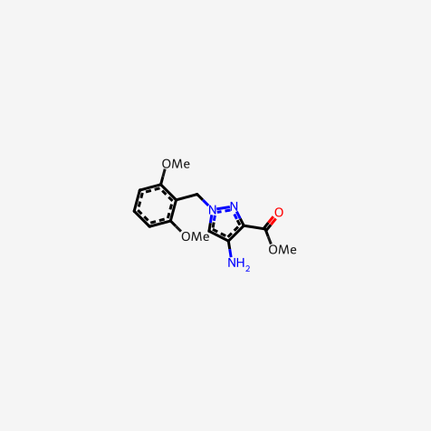 COC(=O)c1nn(Cc2c(OC)cccc2OC)cc1N